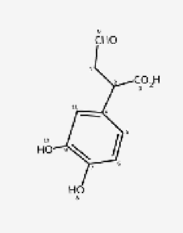 O=CCC(C(=O)O)c1ccc(O)c(O)c1